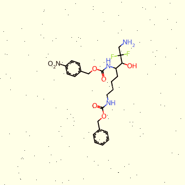 NCC(F)(F)C(O)C(CCCCNC(=O)OCc1ccccc1)NC(=O)OCc1ccc([N+](=O)[O-])cc1